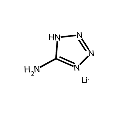 Nc1nnn[nH]1.[Li]